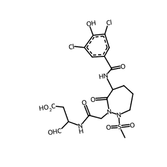 CS(=O)(=O)N1CCCC(NC(=O)c2cc(Cl)c(O)c(Cl)c2)C(=O)N1CC(=O)NC(C=O)CC(=O)O